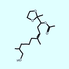 CC(=O)OC(CC=C(C)CCCC(C)CO)C1(C)OCCO1